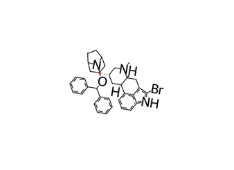 CN1C[C@@H](CN2C3CCC2CC(OC(c2ccccc2)c2ccccc2)C3)C[C@@H]2c3cccc4[nH]c(Br)c(c34)C[C@H]21